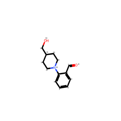 O=Cc1ccccc1N1CCC(CO)CC1